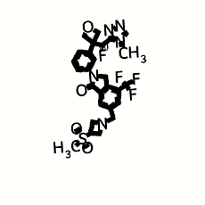 Cn1cnnc1[C@H](F)C1(c2cccc(N3Cc4c(cc(CN5CC(S(C)(=O)=O)C5)cc4C(F)(F)F)C3=O)c2)COC1